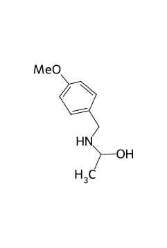 COc1ccc(CNC(C)O)cc1